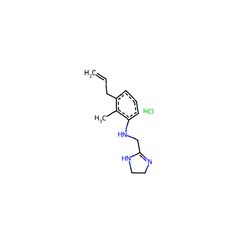 C=CCc1cccc(NCC2=NCCN2)c1C.Cl